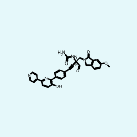 COc1ccc2c(c1)C(=O)N(C[C@](C#Cc1ccc(-c3nc(-c4ccncc4)ccc3O)cc1)(C=O)NC(N)=O)C2